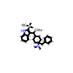 COC(c1c([Si](C)(C)C(C)(C)C)[nH]c2ccccc12)C1CCC(Cc2ccccc2)(N(C)C)CC1